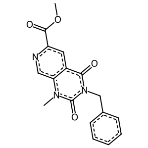 COC(=O)c1cc2c(=O)n(Cc3ccccc3)c(=O)n(C)c2cn1